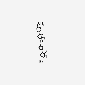 C=CC1CCC(c2ccc(OCc3ccc(-c4ccc(OCC)c(F)c4F)cc3)c(F)c2F)CC1